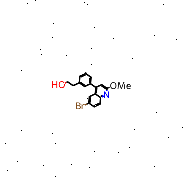 COc1cc(-c2cccc(CCO)c2)c2cc(Br)ccc2n1